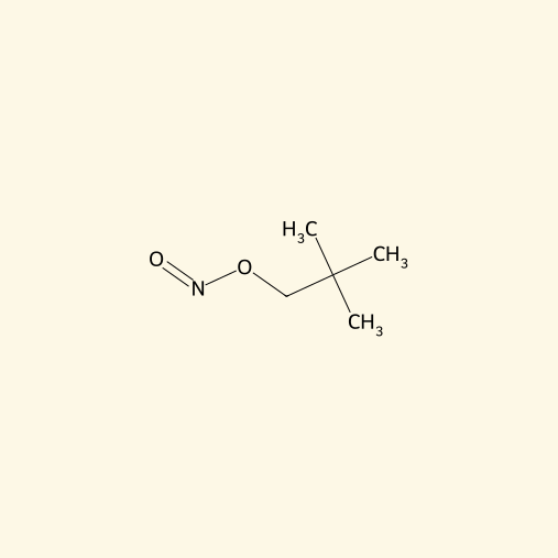 CC(C)(C)CON=O